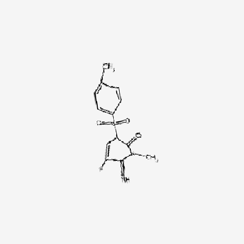 Cc1ccc(S(=O)(=O)C2C=C(F)C(=N)N(C)C2=O)cc1